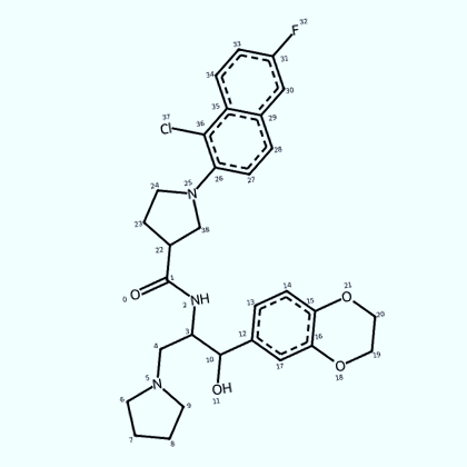 O=C(NC(CN1CCCC1)C(O)c1ccc2c(c1)OCCO2)C1CCN(c2ccc3cc(F)ccc3c2Cl)C1